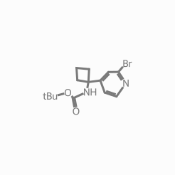 CC(C)(C)OC(=O)NC1(c2ccnc(Br)c2)CCC1